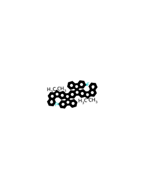 CC1(C)c2cc3c(cc2-c2c1ccc1ccccc21)C1(c2ccccc2-c2ccc(F)cc21)c1cc2c(cc1-3)C1(c3ccccc3-c3ccc(F)cc31)c1cc3c(cc1-2)C(C)(C)c1ccc2ccccc2c1-3